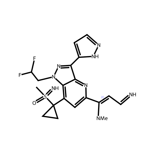 CN/C(=C\C=N)c1cc(C2(S(C)(=N)=O)CC2)c2c(n1)c(-c1ccn[nH]1)nn2CC(F)F